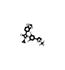 O=C1C(c2ccc3[nH]cnc3c2)[C@@H](c2c(F)cc(-c3ccn(C(F)(F)F)n3)cc2F)[C@H]1C1CC1